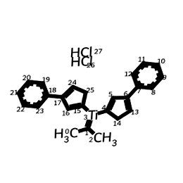 C[C](C)=[Ti]([C]1=CC(c2ccccc2)=CC1)[C]1=CC(c2ccccc2)=CC1.Cl.Cl